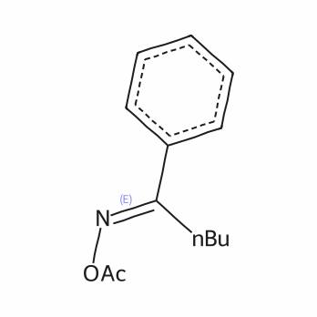 CCCC/C(=N\OC(C)=O)c1ccccc1